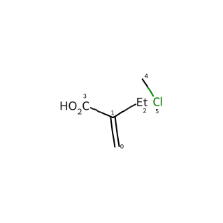 C=C(CC)C(=O)O.CCl